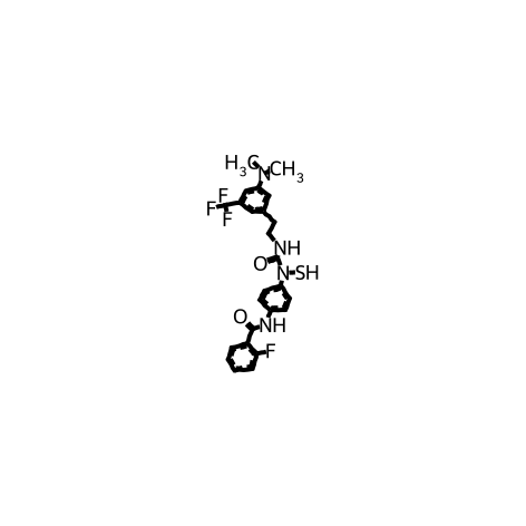 CN(C)c1cc(CCNC(=O)N(S)c2ccc(NC(=O)c3ccccc3F)cc2)cc(C(F)(F)F)c1